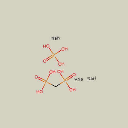 O=P(O)(O)CP(=O)(O)O.O=P(O)(O)O.[NaH].[NaH].[NaH]